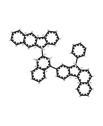 c1ccc(-n2c3cc(-c4nc(-n5c6ccccc6c6cc7ccccc7cc65)nc5ccccc45)ccc3c3c4ccccc4ccc32)cc1